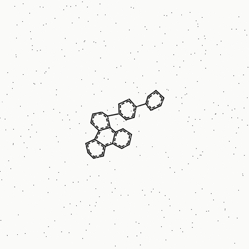 c1ccc(-c2ccc(-c3cccc4c5ccccc5c5ccccc5c34)cc2)cc1